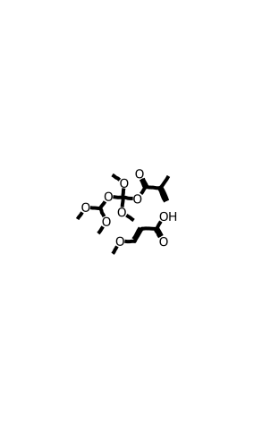 C=C(C)C(=O)OC(OC)(OC)OC(OC)OC.COC=CC(=O)O